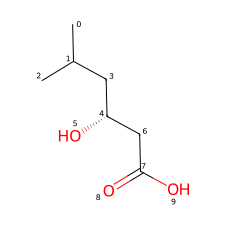 CC(C)C[C@@H](O)CC(=O)O